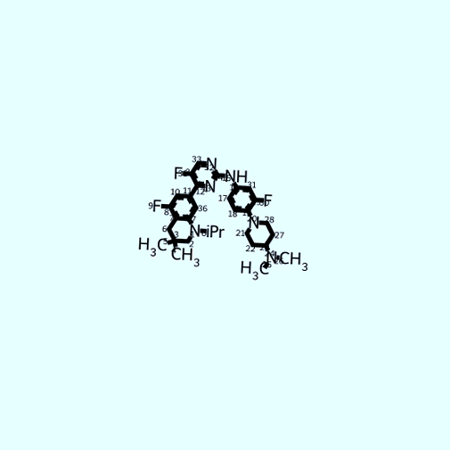 CC(C)N1CC(C)(C)Cc2c(F)cc(-c3nc(Nc4ccc(N5CCC(N(C)C)CC5)c(F)c4)ncc3F)cc21